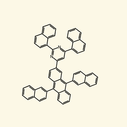 c1ccc2cc(-c3c4ccccc4c(-c4ccc5ccccc5c4)c4cc(-c5cc(-c6cccc7ccccc67)nc(-c6cccc7ccccc67)n5)ccc34)ccc2c1